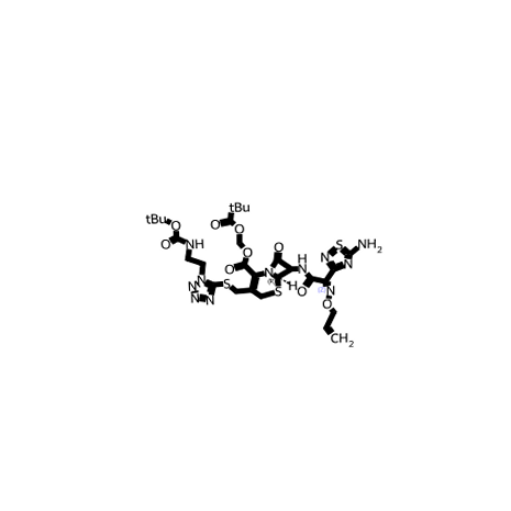 C=CCO/N=C(\C(=O)NC1C(=O)N2C(C(=O)OCOC(=O)C(C)(C)C)=C(CSc3nnnn3CCNC(=O)OC(C)(C)C)CS[C@H]12)c1nsc(N)n1